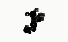 Cc1cccnc1-n1ccc2cc(N(CC(=O)OC(C)(C)C)S(=O)(=O)c3cc(Cl)cc(Cl)c3)ccc21